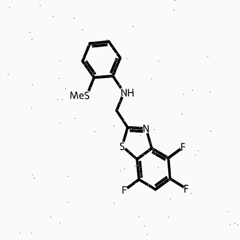 CSc1ccccc1NCc1nc2c(F)c(F)cc(F)c2s1